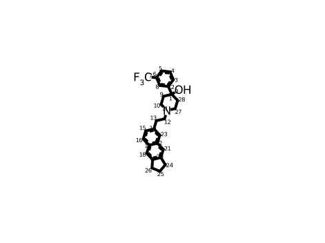 OC1(c2cccc(C(F)(F)F)c2)CCN(CCc2ccc3cc4c(cc3c2)CCC4)CC1